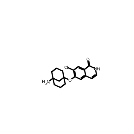 NC12CCCC(Oc3cc4cc[nH]c(=O)c4cc3Cl)(CCC1)C2